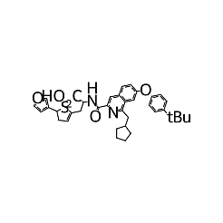 CC(C)(C)c1ccc(Oc2ccc3cc(C(=O)NC(CC4=CCC(c5ccoc5)S4)C(=O)O)nc(CC4CCCC4)c3c2)cc1